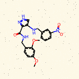 COc1ccc(CNC(=O)c2n[nH]cc2NCc2cccc([N+](=O)[O-])c2)c(OC)c1